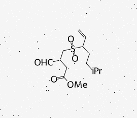 C=CC(CCC(C)C)S(=O)(=O)CC(C=O)CC(=O)OC